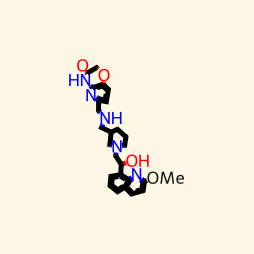 COc1ccc2cccc(C(O)CN3CCCC(CNCc4ccc5c(n4)NC(=O)CO5)C3)c2n1